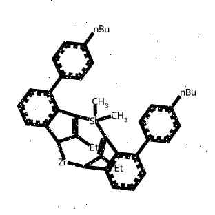 CCCCc1ccc(-c2cccc3c2C2=C(CC)[CH]3[Zr][CH]3C(CC)=C(c4c(-c5ccc(CCCC)cc5)cccc43)[Si]2(C)C)cc1